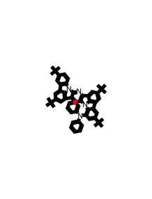 CC(C)(C)c1ccc2c(c1)c1cc(C(C)(C)C)cc3c4cc5c(nc4n2c13)c1cc(C(C)(C)C)cc2c3cc(C(C)(C)C)cc(N(c4ccccc4)c4ccccc4)c3n5c21